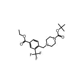 CCOC(=O)c1ccc(CN2CCN(C(=O)OC(C)(C)C)CC2)c(C(F)(F)F)c1